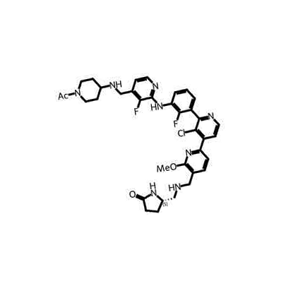 COc1nc(-c2ccnc(-c3cccc(Nc4nccc(CNC5CCN(C(C)=O)CC5)c4F)c3F)c2Cl)ccc1CNC[C@@H]1CCC(=O)N1